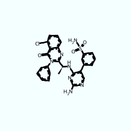 C[C@H](Nc1nc(N)ncc1-c1cccc(S(N)(=O)=O)c1)c1nc2cccc(Cl)c2c(=O)n1-c1ccccc1